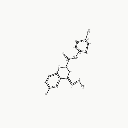 Cc1ccc2c(c1)C(=S=NO)CC(C(=O)Nc1ccc(Cl)cc1)O2